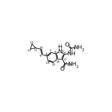 NC(=O)Nc1[nH]c2cc(C=CC3CC3)ccc2c1C(N)=O